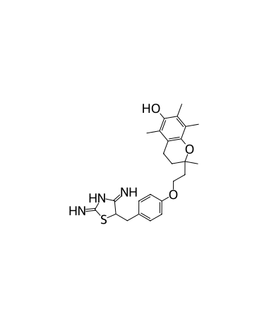 Cc1c(C)c2c(c(C)c1O)CCC(C)(CCOc1ccc(CC3SC(=N)NC3=N)cc1)O2